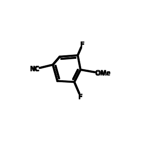 COc1c(F)cc(C#N)cc1F